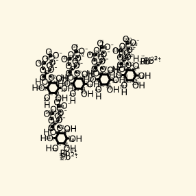 O=P([O-])([O-])OP(=O)([O-])OP(=O)([O-])OC1(O)C(O)C(O)C(O)C(O)C1O.O=P([O-])([O-])OP(=O)([O-])OP(=O)([O-])OC1(O)C(O)C(O)C(O)C(O)C1O.O=P([O-])([O-])OP(=O)([O-])OP(=O)([O-])OC1(O)C(O)C(O)C(O)C(O)C1O.O=P([O-])([O-])OP(=O)([O-])OP(=O)([O-])OC1(O)C(O)C(O)C(O)C(O)C1O.O=P([O-])([O-])OP(=O)([O-])OP(=O)([O-])OC1(O)C(O)C(O)C(O)C(O)C1O.[Pb+2].[Pb+2].[Pb+2].[Pb+2]